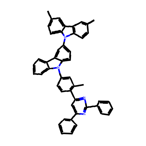 Cc1ccc2c(c1)c1cc(C)ccc1n2-c1ccc2c(c1)c1ccccc1n2-c1ccc(-c2cc(-c3ccccc3)nc(-c3ccccc3)n2)c(C)c1